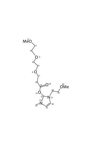 COCCOCCOCCC(=O)OC1N(C)C=CN1CCOC